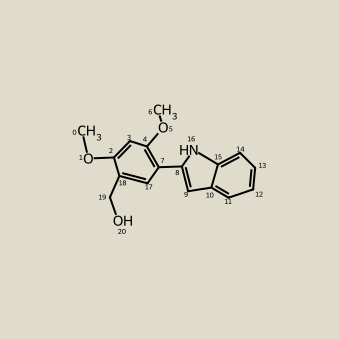 COc1cc(OC)c(-c2cc3ccccc3[nH]2)cc1CO